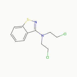 ClCCN(CCCl)c1nsc2ccccc12